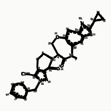 CN1C(=O)[C@@H](N2CCc3c(nn(Cc4ccccc4)c3Cl)C2=O)COc2cc3nc(C4CC4)sc3cc21